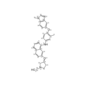 Cc1cc(Nc2ncnc3ccc(O[C@H]4CCN(C(=O)O)C4)cc23)ccc1Oc1ccc2c(c1)ncn2C